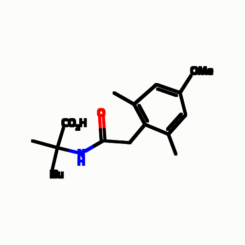 CCC(C)C(C)(NC(=O)Cc1c(C)cc(OC)cc1C)C(=O)O